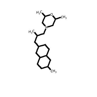 CC1CCC2CC(CC(C)CN3CC(C)OC(C)C3)CCC2C1